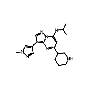 CC(I)Nc1cc(C2CCCNC2)nc2c(-c3cnn(C)c3)cnn12